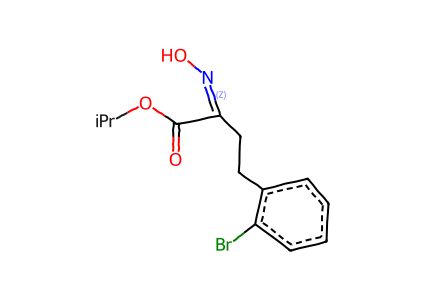 CC(C)OC(=O)/C(CCc1ccccc1Br)=N\O